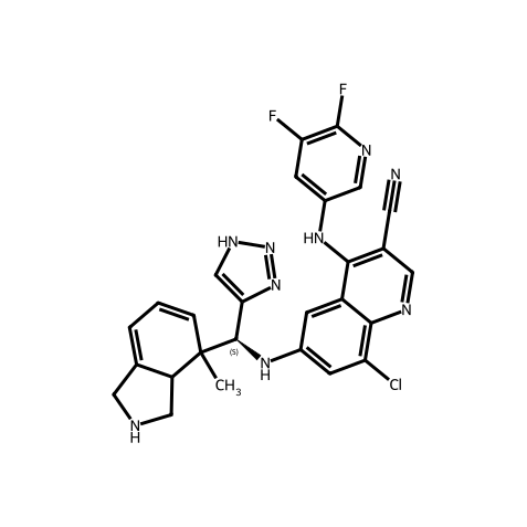 CC1([C@H](Nc2cc(Cl)c3ncc(C#N)c(Nc4cnc(F)c(F)c4)c3c2)c2c[nH]nn2)C=CC=C2CNCC21